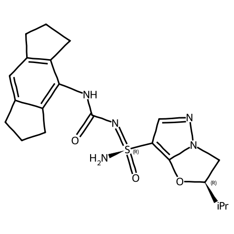 CC(C)[C@@H]1Cn2ncc([S@](N)(=O)=NC(=O)Nc3c4c(cc5c3CCC5)CCC4)c2O1